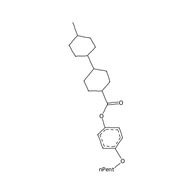 CCCCCOc1ccc(OC(=O)C2CCC(C3CCC(C)CC3)CC2)cc1